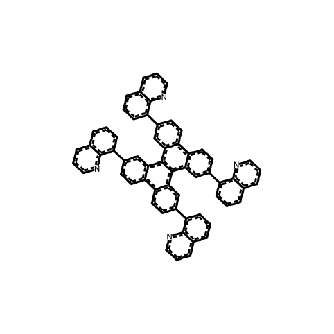 c1cnc2c(-c3ccc4c5ccc(-c6cccc7cccnc67)cc5c5c6cc(-c7cccc8cccnc78)ccc6c6ccc(-c7cccc8cccnc78)cc6c5c4c3)cccc2c1